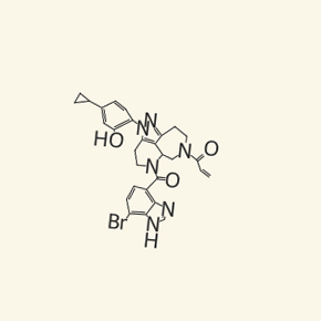 C=CC(=O)N1CCc2nn(-c3ccc(C4CC4)cc3O)c3c2C(C1)N(C(=O)c1ccc(Br)c2[nH]cnc12)CC3